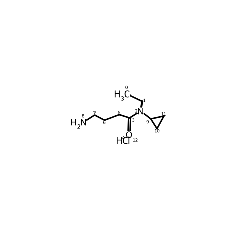 CCN(C(=O)CCCN)C1CC1.Cl